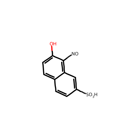 O=Nc1c(O)ccc2ccc(S(=O)(=O)O)cc12